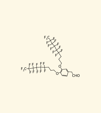 O=CCc1ccc(OCCCC(F)(F)C(F)(F)C(F)(F)C(F)(F)C(F)(F)C(F)(F)F)c(OCCCC(F)(F)C(F)(F)C(F)(F)C(F)(F)C(F)(F)C(F)(F)F)c1